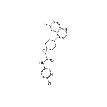 O=C(Nc1ccc(Cl)nc1)C1CC12CCC(c1ccnc3ccc(F)cc13)CC2